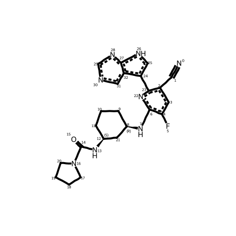 N#Cc1cc(F)c(N[C@@H]2CCC[C@H](NC(=O)N3CCCC3)C2)nc1-c1c[nH]c2ncncc12